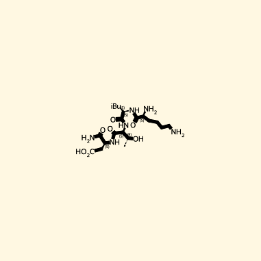 CC[C@H](C)[C@H](NC(=O)[C@@H](N)CCCCN)C(=O)N[C@H](C(=O)N[C@@H](CC(=O)O)C(N)=O)[C@@H](C)O